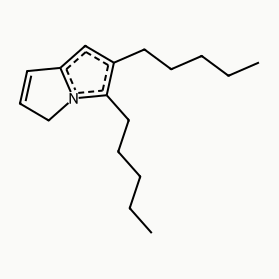 CCCCCc1cc2n(c1CCCCC)CC=C2